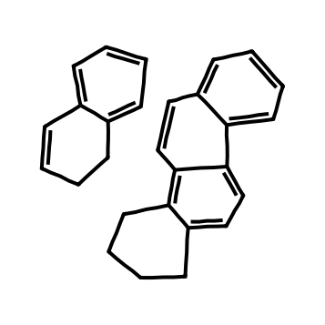 C1=Cc2ccccc2CC1.c1ccc2c(c1)ccc1c3c(ccc12)CCCC3